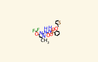 Cc1cc(OC(F)F)nc(NC(=O)NS(=O)(=O)c2ccccc2OCc2cccs2)n1